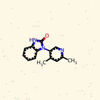 Cc1cc(C)c(-n2c(=O)[nH]c3ccccc32)cn1